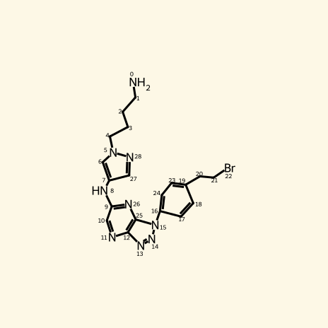 NCCCCn1cc(Nc2cnc3nnn(-c4ccc(CCBr)cc4)c3n2)cn1